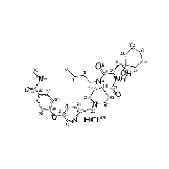 CCCCN1C(=O)[C@@H](CC2(O)CCCCC2)NC(=O)C12CCN(Cc1ccc(Oc3ccc(C(=O)NC)cc3)cn1)CC2.Cl